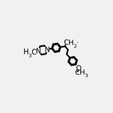 [CH2]C(CCc1ccc(OC)cc1)c1ccc(N2CCN(C)CC2)cc1